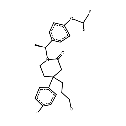 C[C@@H](c1ccc(OC(F)F)cc1)N1CCC(CCCO)(c2ccc(F)cc2)CC1=O